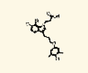 Cc1cc(OCCCc2cn(CCC(=O)O)c3c(Br)c(Cl)ccc23)cc(C)c1Cl